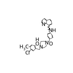 Cc1cc(O)c(CN2CCCN(C(=O)c3ccc(NSc4cccc5cccnc45)cc3)CC2)cc1Cl